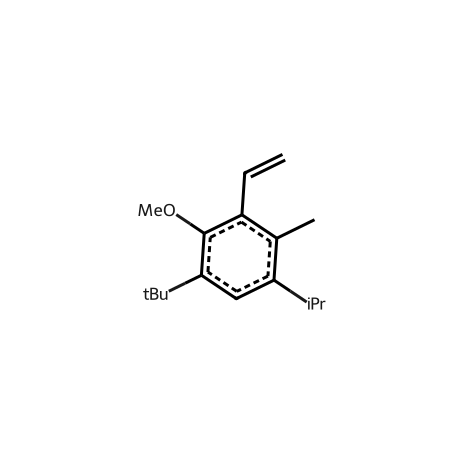 C=Cc1c(C)c(C(C)C)cc(C(C)(C)C)c1OC